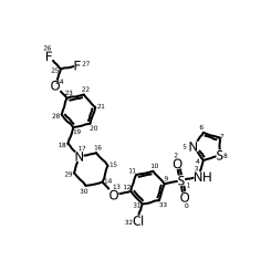 O=S(=O)(Nc1nccs1)c1ccc(OC2CCN(Cc3cccc(OC(F)F)c3)CC2)c(Cl)c1